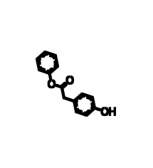 O=C(Cc1ccc(O)cc1)Oc1ccccc1